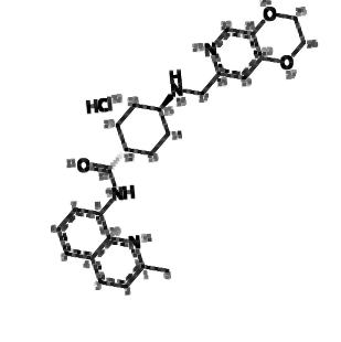 Cc1ccc2cccc(NC(=O)[C@H]3CC[C@H](NCc4cc5c(cn4)OCCO5)CC3)c2n1.Cl